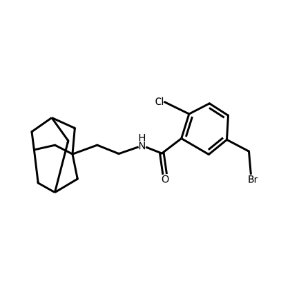 O=C(NCCC12CC3CC(CC(C3)C1)C2)c1cc(CBr)ccc1Cl